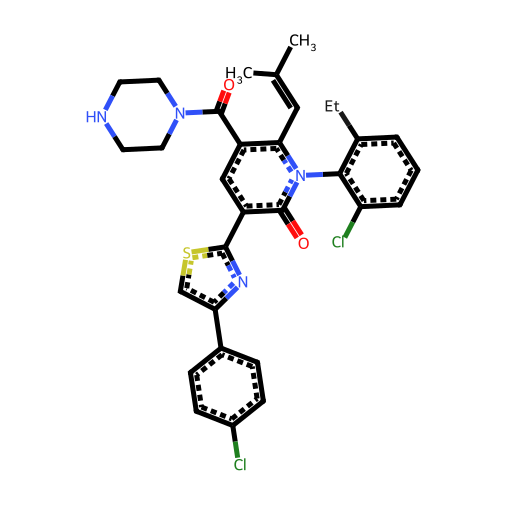 CCc1cccc(Cl)c1-n1c(C=C(C)C)c(C(=O)N2CCNCC2)cc(-c2nc(-c3ccc(Cl)cc3)cs2)c1=O